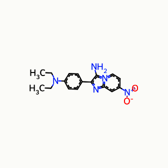 CCN(CC)c1ccc(-c2nc3cc([N+](=O)[O-])ccn3c2N)cc1